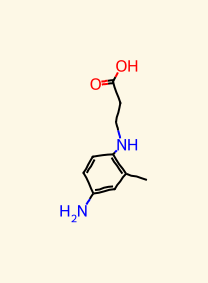 Cc1cc(N)ccc1NCCC(=O)O